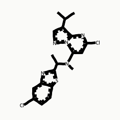 CC(C)c1cnn2c(N(C)C(C)c3nc4cc(Cl)ccc4s3)cc(Cl)nc12